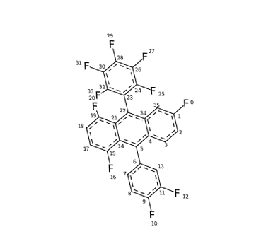 Fc1ccc2c(-c3ccc(F)c(F)c3)c3c(F)ccc(F)c3c(-c3c(F)c(F)c(F)c(F)c3F)c2c1